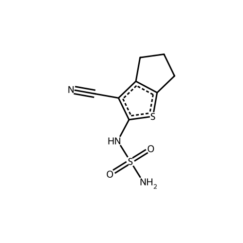 N#Cc1c(NS(N)(=O)=O)sc2c1CCC2